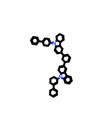 C1=CCCC(C2=CC(N3c4ccccc4C4=CC(C5C=CC=C(C6C=CC7C(C6)C6C=CCCC6N7C6=CC=C(c7ccccc7)CC6)C5)=CCC43)CCC2)=C1